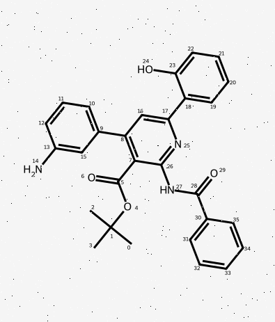 CC(C)(C)OC(=O)c1c(-c2cccc(N)c2)cc(-c2ccccc2O)nc1NC(=O)c1ccccc1